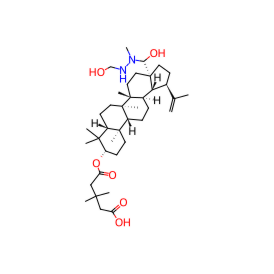 C=C(C)[C@@H]1CC[C@]2(C(O)N(C)NCO)CC[C@]3(C)[C@H](CC[C@@H]4[C@@]5(C)CC[C@H](OC(=O)CC(C)(C)CC(=O)O)C(C)(C)[C@@H]5CC[C@]43C)[C@@H]12